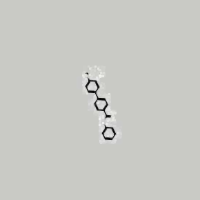 COc1ccc(-c2ccc(C(=O)Oc3ccccc3)cc2)cc1